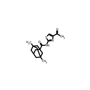 CC(=O)c1csc(NC(=O)C23CC4CC(C)(CC(C)(C4)C2)C3)n1